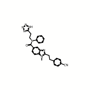 Cn1c(CCc2ccc(C#N)cc2)nc2cc(C(=O)N(CCc3nnn[nH]3)c3ccccc3)ccc21